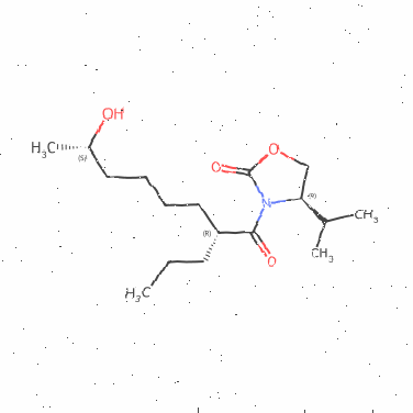 CCC[C@H](CCCC[C@H](C)O)C(=O)N1C(=O)OC[C@H]1C(C)C